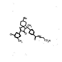 Cc1cc(Cl)cc(C2=NC3(CCC(C(C)(C)C)CC3)N([C@H](C)c3ccc(C(=O)NCCC(=O)O)cc3)C2=O)c1